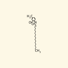 CCCCCCCCCCCCCCCCSc1nc2ccc(C)cc2c(=O)o1